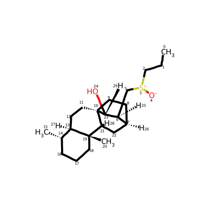 CCC[S+]([O-])C[C@H]1[C@H]2CC[C@@]3(CC[C@@H]4[C@@H](C)CCC[C@@]4(C)[C@@H]3C2)[C@@H]1O